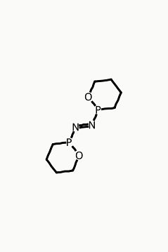 C1CCP(N=NP2CCCCO2)OC1